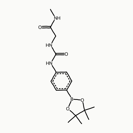 CNC(=O)CNC(=O)Nc1ccc(B2OC(C)(C)C(C)(C)O2)cc1